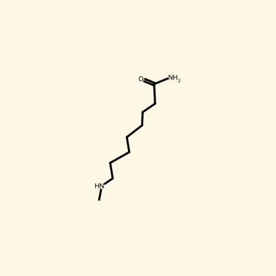 CNCCCCCCCC(N)=O